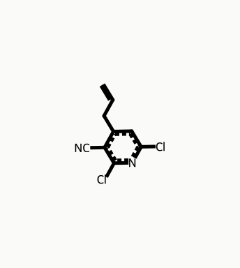 C=CCc1cc(Cl)nc(Cl)c1C#N